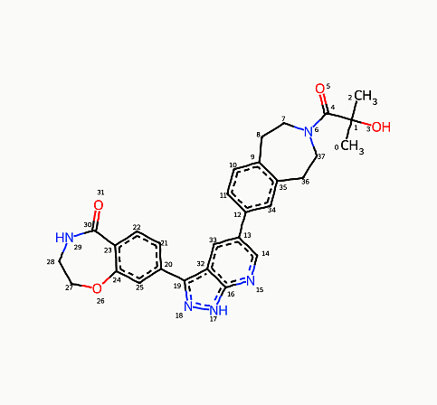 CC(C)(O)C(=O)N1CCc2ccc(-c3cnc4[nH]nc(-c5ccc6c(c5)OCCNC6=O)c4c3)cc2CC1